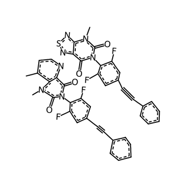 Cc1ccnc2c(=O)n(-c3c(F)cc(C#Cc4ccccc4)cc3F)c(=O)n(C)c12.Cn1c(=O)n(-c2c(F)cc(C#Cc3ccccc3)cc2F)c(=O)c2nsnc21